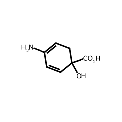 NC1=CCC(O)(C(=O)O)C=C1